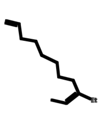 C=CCCCCCCC(=CC)CC